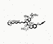 CC#CCOc1ccc(C[C@H](NC(=O)[C@@H](/C=C/CCCCCCC2(CCCCCCC)OCCO2)C(O)(CCO[Si](C)(C)C(C)(C)C)C(=O)OC(C)(C)C)C(=O)O)cc1